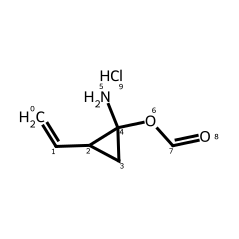 C=CC1CC1(N)OC=O.Cl